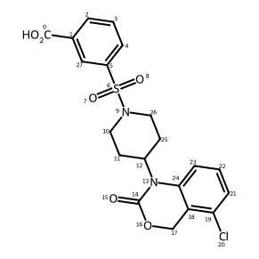 O=C(O)c1cccc(S(=O)(=O)N2CCC(N3C(=O)OCc4c(Cl)cccc43)CC2)c1